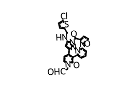 O=CCn1ccc(-c2cc(NCc3ccc(Cl)s3)n(C(=O)c3ccon3)n2)c(-c2ccccn2)c1=O